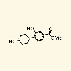 COC(=O)c1ccc(N2CCB(C#N)CC2)c(O)c1